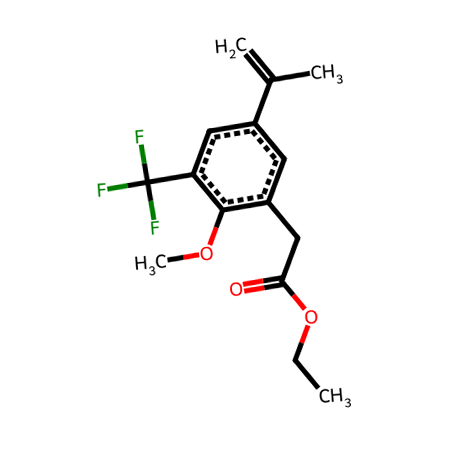 C=C(C)c1cc(CC(=O)OCC)c(OC)c(C(F)(F)F)c1